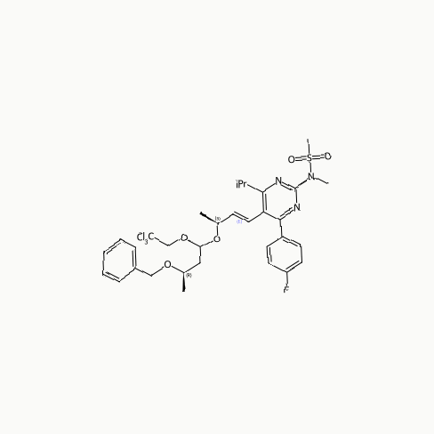 CC(C)c1nc(N(C)S(C)(=O)=O)nc(-c2ccc(F)cc2)c1/C=C/[C@H](C)OC(C[C@@H](C)OCc1ccccc1)OCC(Cl)(Cl)Cl